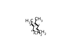 C=CC=CC.C=CC=CC